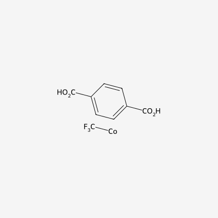 F[C](F)(F)[Co].O=C(O)c1ccc(C(=O)O)cc1